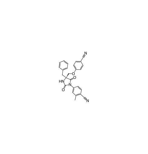 Cc1cc(N2C(=O)N[C@](COc3ccc(C#N)cc3)(Cc3ccccc3)C2=O)ccc1C#N